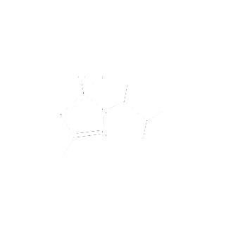 CCOC(=O)c1cc(C)nn1C(F)C(F)F